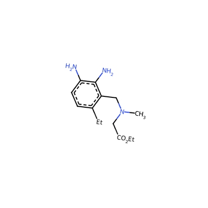 CCOC(=O)CN(C)Cc1c(CC)ccc(N)c1N